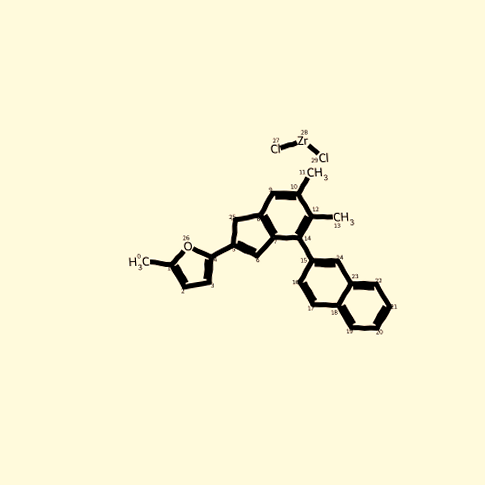 Cc1ccc(C2=Cc3c(cc(C)c(C)c3-c3ccc4ccccc4c3)[CH]2)o1.[Cl][Zr][Cl]